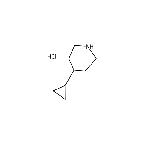 C1CC(C2CC2)CCN1.Cl